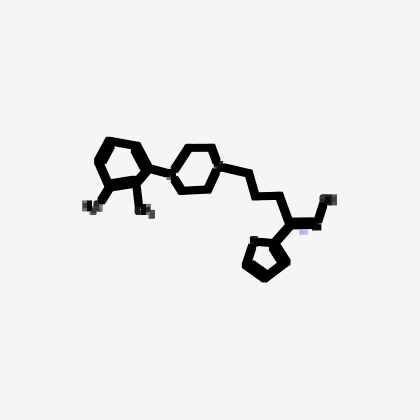 Cc1cccc(N2CCN(CCC/C(=N\O)c3cccs3)CC2)c1C